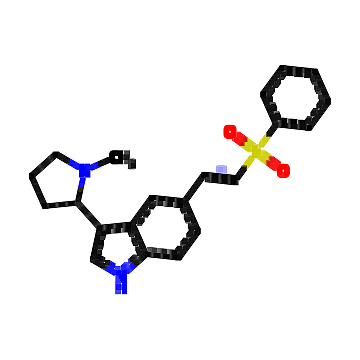 CN1CCCC1c1c[nH]c2ccc(/C=C/S(=O)(=O)c3ccccc3)cc12